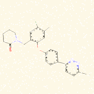 CC(C)c1ccc(-c2ccc(Oc3cc(C(=O)O)c(F)cc3CN3CCCCC3=O)cc2)nn1